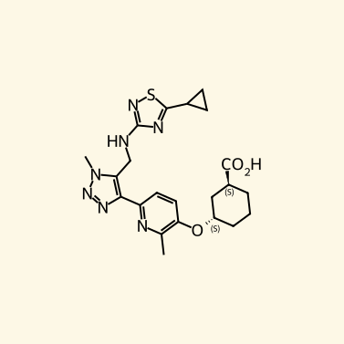 Cc1nc(-c2nnn(C)c2CNc2nsc(C3CC3)n2)ccc1O[C@H]1CCC[C@H](C(=O)O)C1